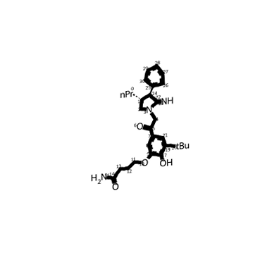 CCC[C@H]1CN(CC(=O)c2cc(OCCCC(N)=O)c(O)c(C(C)(C)C)c2)C(=N)[C@@H]1c1ccccc1